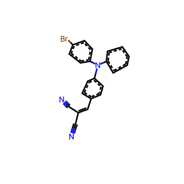 N#CC(C#N)=Cc1ccc(N(c2ccccc2)c2ccc(Br)cc2)cc1